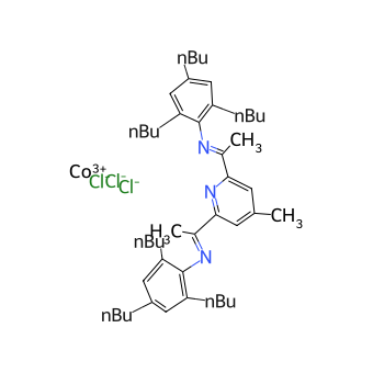 CCCCc1cc(CCCC)c(N=C(C)c2cc(C)cc(C(C)=Nc3c(CCCC)cc(CCCC)cc3CCCC)n2)c(CCCC)c1.[Cl-].[Cl-].[Cl-].[Co+3]